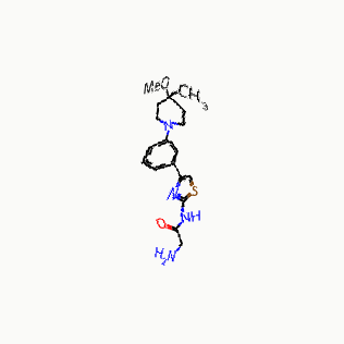 COC1(C)CCN(c2cccc(-c3csc(NC(=O)CN)n3)c2)CC1